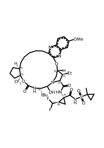 CC[C@@H]1[C@@H]2CN(C(O)[C@H](C(C)(C)C)NC(=O)O[C@@]3(C(F)(F)F)CCC[C@H]3CCCCCc3nc4ccc(OC)cc4nc3O2)[C@@H]1C(=O)N[C@]1(C(=O)NS(=O)(=O)C2(C)CC2)C[C@H]1C(F)F